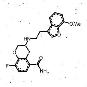 COc1cccc2c(CCNC3COc4c(F)ccc(C(N)=O)c4C3)coc12